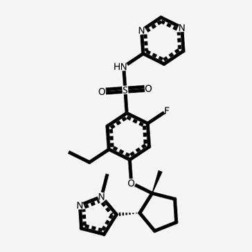 CCc1cc(S(=O)(=O)Nc2ccncn2)c(F)cc1O[C@]1(C)CCC[C@@H]1c1ccnn1C